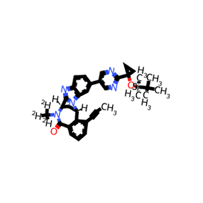 [2H]C([2H])([2H])N1C(=O)c2cccc(C#CC)c2[C@H]2C[C@@H]1c1nc3ccc(-c4cnc(C5(O[Si](C)(C)C(C)(C)C)CC5)nc4)cc3n12